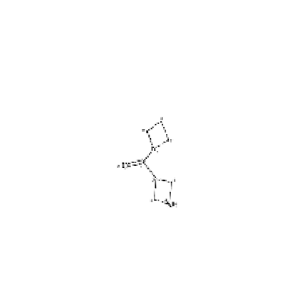 O=C(C1CNC1)N1CCC1